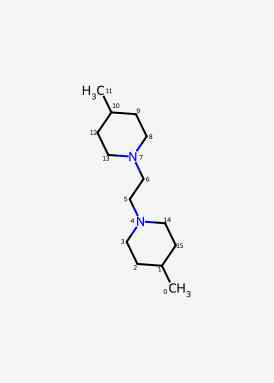 CC1CCN(CCN2CCC(C)CC2)CC1